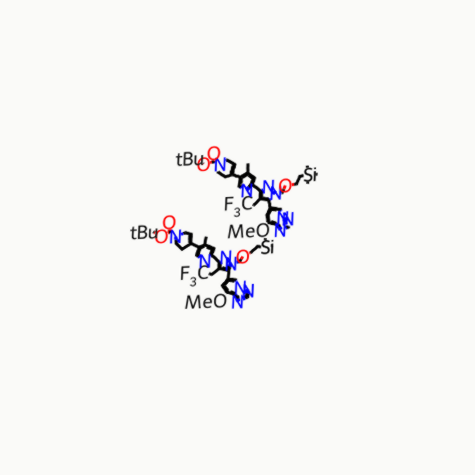 COc1cc(-c2c(CC(F)(F)F)c(-c3cc(C)c(C4=CCN(C(=O)OC(C)(C)C)CC4)cn3)nn2COCC[Si](C)(C)C)cn2ncnc12.COc1cc(-c2c(CC(F)(F)F)c(-c3cc(C)c(C4=CCN(C(=O)OC(C)(C)C)CC4)cn3)nn2COCC[Si](C)(C)C)cn2ncnc12